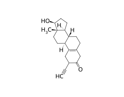 C#CC1CC2=C(CC[C@@H]3[C@@H]2CC[C@]2(C)[C@@H](O)CC[C@@H]32)CC1=O